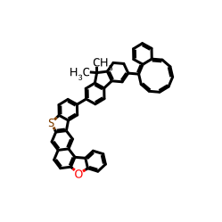 CC1(C)C2=C(C=C(c3cccccccc4ccccc34)CC2)c2ccc(-c3ccc4sc5cc6ccc7oc8ccccc8c7c6cc5c4c3)cc21